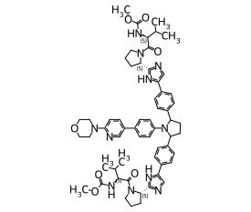 COC(=O)N[C@H](C(=O)N1CCC[C@H]1c1ncc(-c2ccc(C3CCC(c4ccc(-c5cnc([C@@H]6CCCN6C(=O)[C@@H](NC(=O)OC)C(C)C)[nH]5)cc4)N3c3ccc(-c4ccc(N5CCOCC5)nc4)cc3)cc2)[nH]1)C(C)C